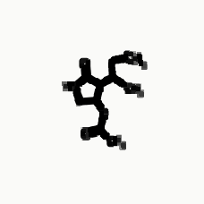 CCC(C)C1C(=O)NCC1OC(C)=O